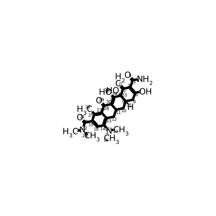 C=C1C(C(N)=O)=C(O)C[C@@H]2CC3Cc4c(N(C)C)cc(C(=O)N(C)C)c(C)c4C(=O)C3=C(O)[C@]12O